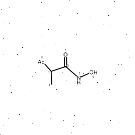 CC(=O)C(C)C(=O)NO